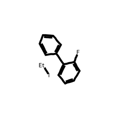 CCI.Fc1ccccc1-c1ccccc1